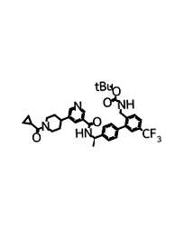 C[C@@H](NC(=O)c1cncc(C2CCN(C(=O)C3CC3)CC2)c1)c1ccc(-c2cc(C(F)(F)F)ccc2CNC(=O)OC(C)(C)C)cc1